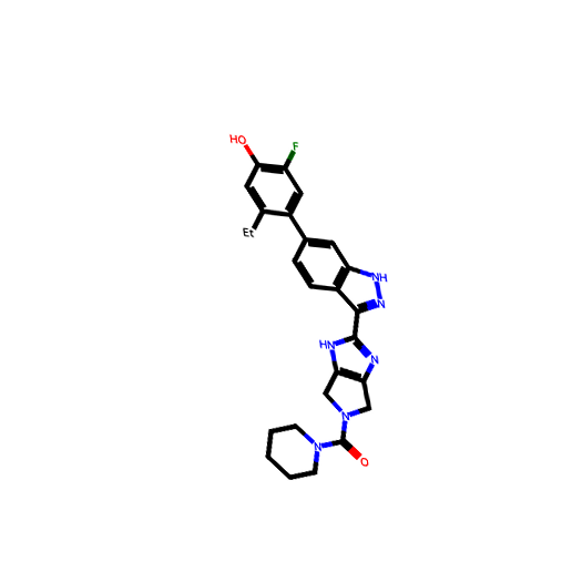 CCc1cc(O)c(F)cc1-c1ccc2c(-c3nc4c([nH]3)CN(C(=O)N3CCCCC3)C4)n[nH]c2c1